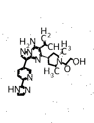 C=C(C)c1c([C@@H]2CC(C)N(C(=O)CO)[C@@H](C)C2)nc2c(-c3ccc(-c4ncc[nH]4)nc3)cnn2c1N